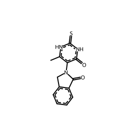 Cc1[nH]c(=S)[nH]c(=O)c1N1Cc2ccccc2C1=O